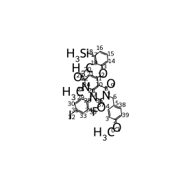 COc1ccc(Cn2c(=O)c3c(Oc4cccc([SiH3])c4C)cc(=O)n(C)c3n(-c3ccc(I)cc3F)c2=O)cc1